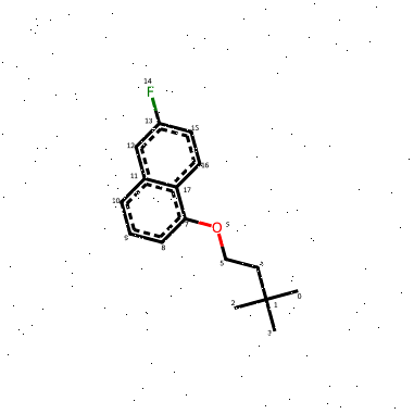 CC(C)(C)CCOc1cccc2cc(F)ccc12